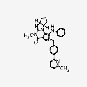 Cc1cccc(-c2ccc(Cn3cc4c(c3Nc3ccccc3)N3C(=N[C@@H]5CCC[C@@H]53)N(C)C4=O)cc2)n1